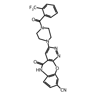 N#Cc1ccc2c(c1)Oc1nnc(N3CCN(C(=O)c4ccccc4C(F)(F)F)CC3)cc1C(=O)N2